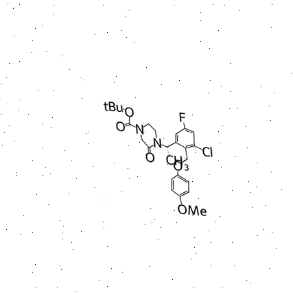 COc1ccc(OCc2c(Cl)cc(F)cc2[C@H](C)N2CCN(C(=O)OC(C)(C)C)CC2=O)cc1